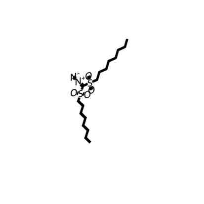 CCCCCCCCS(=O)(=O)C(=[N+]=[N-])S(=O)(=O)CCCCCCCC